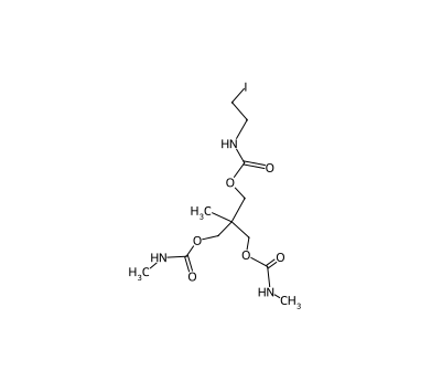 CNC(=O)OCC(C)(COC(=O)NC)COC(=O)NCCI